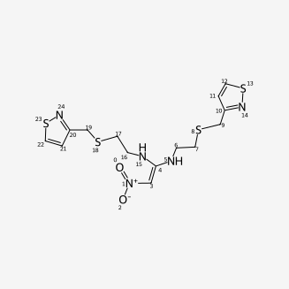 O=[N+]([O-])C=C(NCCSCc1ccsn1)NCCSCc1ccsn1